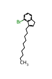 CCCCCCCCCCC1=CCc2cccc(Br)c21